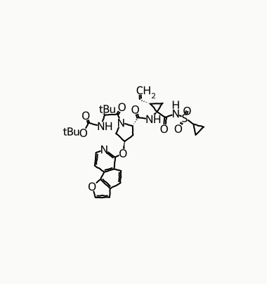 C=C[C@@H]1C[C@]1(NC(=O)[C@@H]1C[C@@H](Oc2nccc3c2ccc2ccoc23)CN1C(=O)[C@@H](NC(=O)OC(C)(C)C)C(C)(C)C)C(=O)NS(=O)(=O)C1CC1